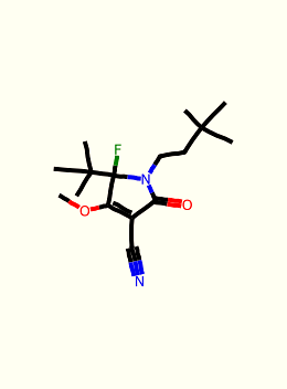 COC1=C(C#N)C(=O)N(CCC(C)(C)C)C1(F)C(C)(C)C